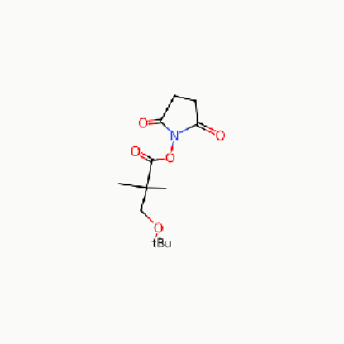 CC(C)(C)OCC(C)(C)C(=O)ON1C(=O)CCC1=O